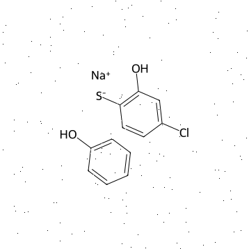 Oc1cc(Cl)ccc1[S-].Oc1ccccc1.[Na+]